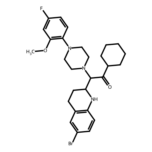 COc1cc(F)ccc1N1CCN(C(C(=O)C2CCCCC2)C2CCc3cc(Br)ccc3N2)CC1